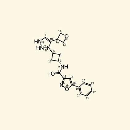 O=C(N[C@H]1C[C@H](N2NNC=C2C2COC2)C1)c1cc(-c2ccccc2)on1